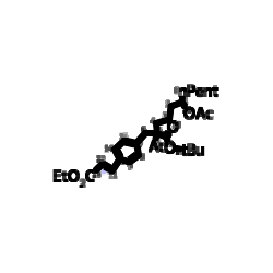 CCCCCC(CCCC(Cc1ccc(/C=C/C(=O)OCC)cc1)(C(C)=O)C(=O)OC(C)(C)C)OC(C)=O